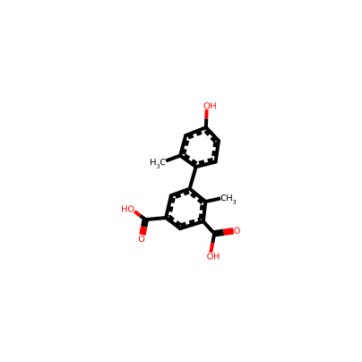 Cc1cc(O)ccc1-c1cc(C(=O)O)cc(C(=O)O)c1C